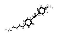 CCCCCc1ccc(C#Cc2ccc(C)cn2)cc1